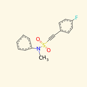 CN(c1ccccc1)S(=O)(=O)C#Cc1ccc(F)cc1